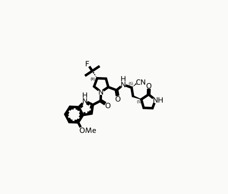 COc1cccc2[nH]c(C(=O)N3C[C@H](C(C)(C)F)CC3C(=O)N[C@H](C#N)C[C@@H]3CCNC3=O)cc12